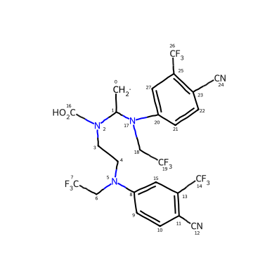 [CH2]C(N(CCN(CC(F)(F)F)c1ccc(C#N)c(C(F)(F)F)c1)C(=O)O)N(CC(F)(F)F)c1ccc(C#N)c(C(F)(F)F)c1